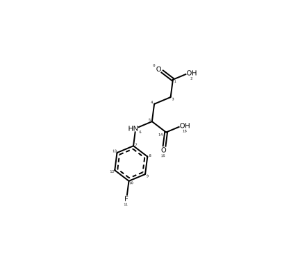 O=C(O)CCC(Nc1ccc(F)cc1)C(=O)O